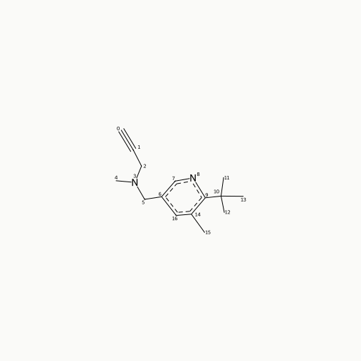 C#CCN(C)Cc1cnc(C(C)(C)C)c(C)c1